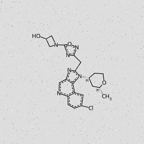 C[C@@H]1C[C@H](n2c(Cc3noc(N4CC(O)C4)n3)nc3cnc4ccc(Cl)cc4c32)CCO1